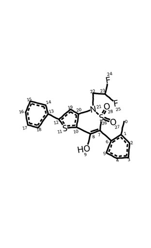 Cc1ccccc1C1=C(O)c2sc(-c3ccccc3)cc2N(CC(F)F)S1(=O)=O